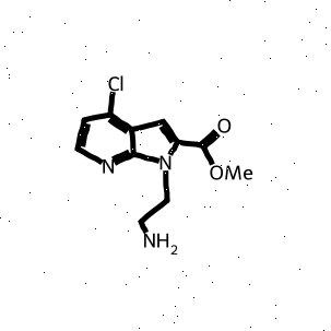 COC(=O)c1cc2c(Cl)ccnc2n1CCN